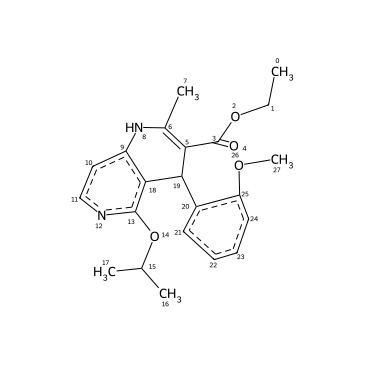 CCOC(=O)C1=C(C)Nc2ccnc(OC(C)C)c2C1c1ccccc1OC